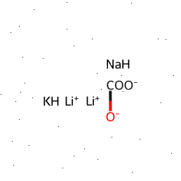 O=C([O-])[O-].[KH].[Li+].[Li+].[NaH]